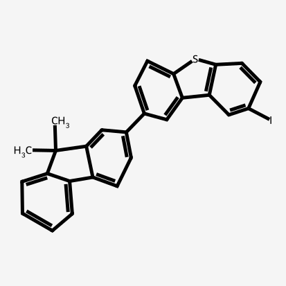 CC1(C)c2ccccc2-c2ccc(-c3ccc4sc5ccc(I)cc5c4c3)cc21